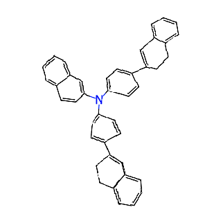 C1=C(c2ccc(N(c3ccc(C4=Cc5ccccc5CC4)cc3)c3ccc4ccccc4c3)cc2)CCc2ccccc21